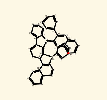 C1=c2c(n(-c3nc4ccccc4nc3-c3ccccc3)c3ccccc23)=C2C(C1)c1c(ccc3ccccc13)N2c1ccccc1